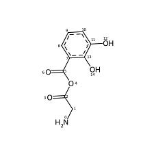 NCC(=O)OC(=O)c1cccc(O)c1O